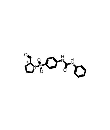 O=[C][C@@H]1CCCN1S(=O)(=O)c1ccc(NC(=O)Nc2ccccc2)cc1